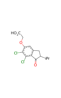 CC(C)C1Cc2cc(OCC(=O)O)c(Cl)c(Cl)c2C1=O